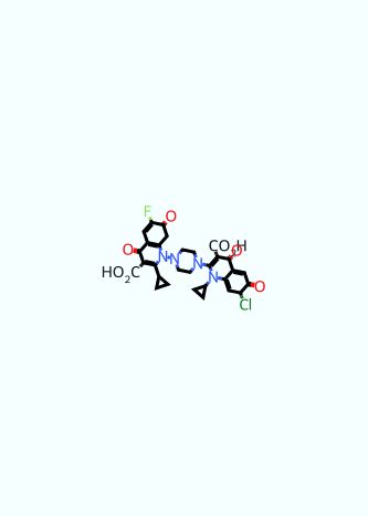 O=C1Cc2c(c(=O)c(C(=O)O)c(C3CC3)n2N2CCN(c3c(C(=O)O)c(=O)c4c(n3C3CC3)=CC(Cl)C(=O)C=4)CC2)C=C1F